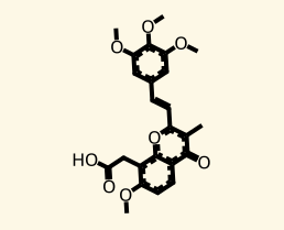 COc1cc(C=Cc2oc3c(CC(=O)O)c(OC)ccc3c(=O)c2C)cc(OC)c1OC